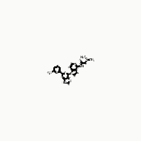 Cc1cccc(-c2nc(-n3ccc4c(NC(=O)CN(C)C)nccc43)c3nc[nH]c3n2)n1